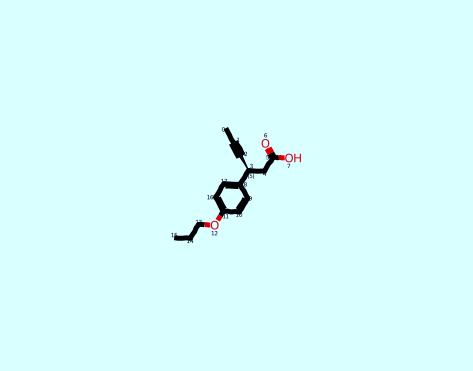 CC#C[C@@H](CC(=O)O)c1ccc(OCCC)cc1